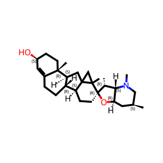 C[C@H]1C[C@H]2O[C@]3(CC[C@H]4[C@@H]5CCC6=C[C@@H](O)CC[C@]6(C)[C@H]5CC45CC53C)[C@H](C)[C@@H]2N(C)C1